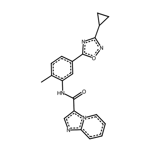 Cc1ccc(-c2nc(C3CC3)no2)cc1NC(=O)c1cnc2ccccn12